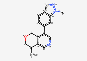 CNC1COCc2c(-c3ccc4cnn(C)c4c3)cncc21